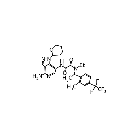 CCN(C(=O)C(=O)Nc1cnc(N)c2cnn(C3CCCCO3)c12)C(C)c1ccc(C(F)(F)C(F)(F)F)cc1C